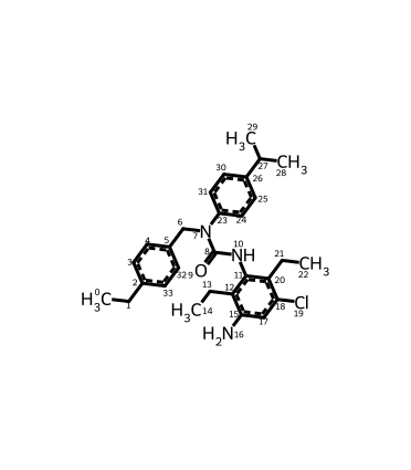 CCc1ccc(CN(C(=O)Nc2c(CC)c(N)cc(Cl)c2CC)c2ccc(C(C)C)cc2)cc1